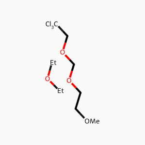 CCOCC.COCCOCOCC(Cl)(Cl)Cl